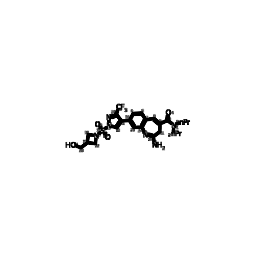 CCCN(CCC)C(=O)C1=Cc2ccc(-c3cn(S(=O)(=O)N4CC(CO)C4)nc3C(F)(F)F)cc2N=C(N)C1